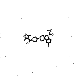 Cc1noc(C)c1C(=O)N1CCC(N2CCC3(CC2)CN(C(=O)N(C)C)c2ccc(F)cc23)CC1